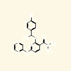 CC(Nc1nc(Nc2cnccn2)ccc1C(=O)N(C)C)c1ccc(F)cc1